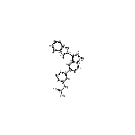 CC(C)(C)C(=O)Nc1cncc(-c2ccc3[nH]nc(-c4nc5cccnc5[nH]4)c3c2)c1